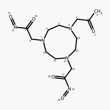 CC(=O)CN1CCN(CC(=O)N=O)CCN(CC(=O)N=O)CC1